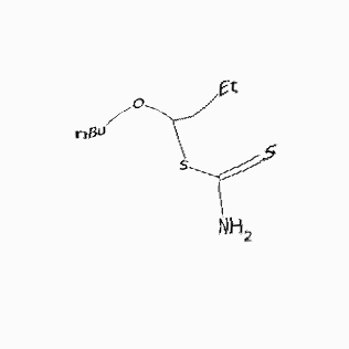 CCCCOC(CC)SC(N)=S